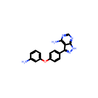 Nc1cccc(Oc2ccc(-c3n[nH]c4ncnc(N)c34)cc2)c1